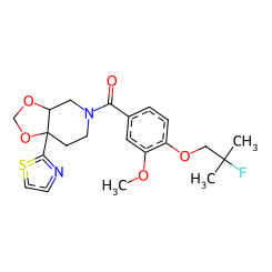 COc1cc(C(=O)N2CCC3(c4nccs4)OCOC3C2)ccc1OCC(C)(C)F